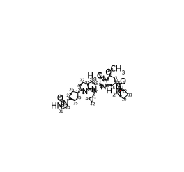 COc1cc(C(=O)N2CC3CCC2[C@@H]3N)cc2nc(-c3cc4ccc(-c5ccc(N6CCNC6=O)cc5)nc4n3CC3CC3)n(C)c12